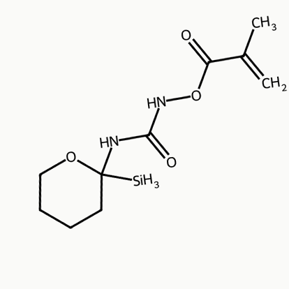 C=C(C)C(=O)ONC(=O)NC1([SiH3])CCCCO1